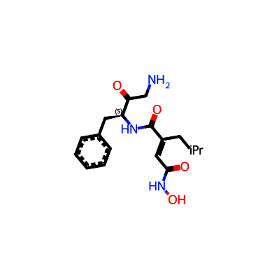 CC(C)CC(=CC(=O)NO)C(=O)N[C@@H](Cc1ccccc1)C(=O)CN